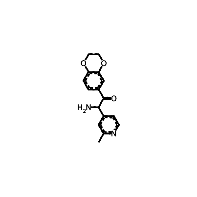 Cc1cc(C(N)C(=O)c2ccc3c(c2)OCCO3)ccn1